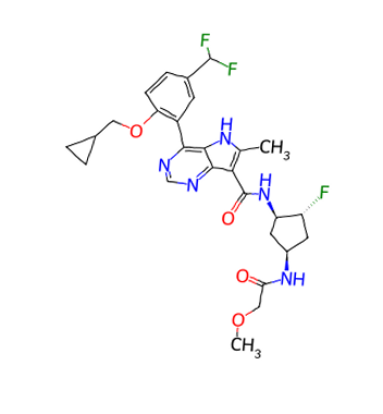 COCC(=O)N[C@@H]1C[C@@H](F)[C@H](NC(=O)c2c(C)[nH]c3c(-c4cc(C(F)F)ccc4OCC4CC4)ncnc23)C1